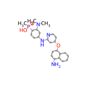 CN(C)c1cc(Nc2cc(Oc3ccc(N)c4ccccc34)ccn2)ccc1P(C)(=O)O